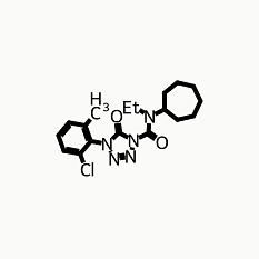 CCN(C(=O)n1nnn(-c2c(C)cccc2Cl)c1=O)C1CCCCCC1